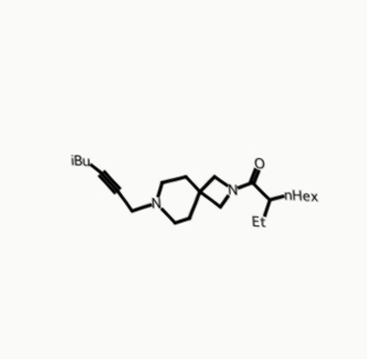 CCCCCCC(CC)C(=O)N1CC2(CCN(CC#CC(C)CC)CC2)C1